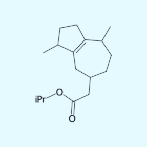 CC(C)OC(=O)CC1CCC(C)C2=C(C1)C(C)CC2